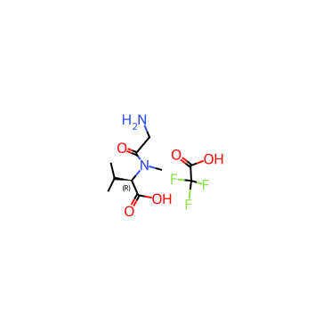 CC(C)[C@H](C(=O)O)N(C)C(=O)CN.O=C(O)C(F)(F)F